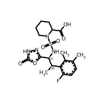 Cc1ccc(F)c([C@@H](C)[C@H](NS(=O)(=O)N2CCCCC2C(=O)O)c2n[nH]c(=O)o2)c1C